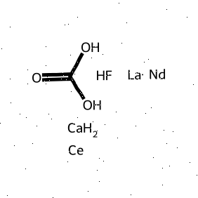 F.O=C(O)O.[CaH2].[Ce].[La].[Nd]